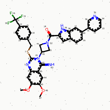 COc1cc2nc(SCc3ccc(C(F)(F)F)cc3)n(C3CN(C(=O)c4cc5ccc(-c6cccnc6)cc5[nH]4)C3)c(=N)c2cc1OC